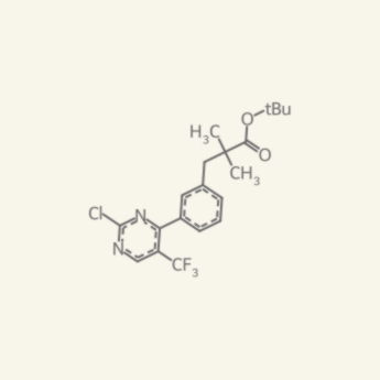 CC(C)(C)OC(=O)C(C)(C)Cc1cccc(-c2nc(Cl)ncc2C(F)(F)F)c1